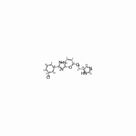 O=C(/C=C\n1cnc(-c2cccc(Cl)c2)n1)OCc1cnc[nH]1